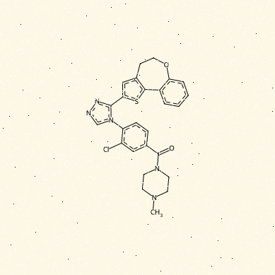 CN1CCN(C(=O)c2ccc(-n3cnnc3-c3cc4c(s3)-c3ccccc3OCC4)c(Cl)c2)CC1